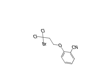 N#Cc1ccccc1OCCC(Cl)(Cl)Br